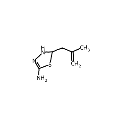 C=C(C)CC1NN=C(N)S1